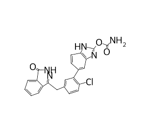 NC(=O)Oc1nc2cc(-c3cc(Cc4n[nH]c(=O)c5ccccc45)ccc3Cl)ccc2[nH]1